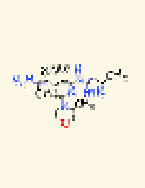 CN/C(=C(/C)N)c1cc(N/C(N)=C/C(C)=N)nc(N2CCOCC2C)c1